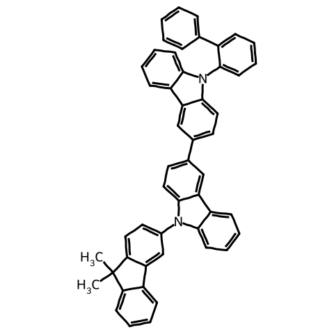 CC1(C)c2ccccc2-c2cc(-n3c4ccccc4c4cc(-c5ccc6c(c5)c5ccccc5n6-c5ccccc5-c5ccccc5)ccc43)ccc21